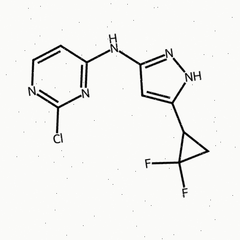 FC1(F)CC1c1cc(Nc2ccnc(Cl)n2)n[nH]1